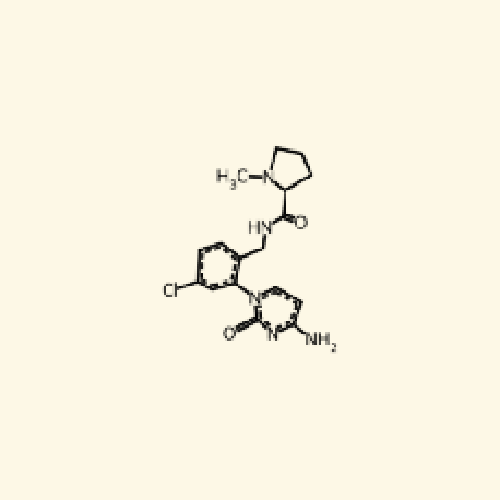 CN1CCC[C@H]1C(=O)NCc1ccc(Cl)cc1-n1ccc(N)nc1=O